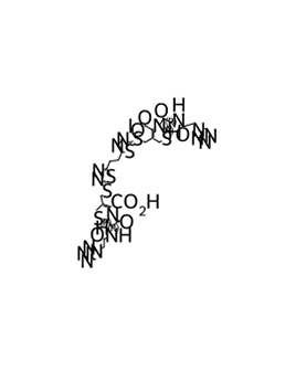 O=C(Cn1cnnn1)N[C@@H]1C(=O)N2C(C(=O)O)=C(CSc3nnc(CCc4nnc(SCC5=C(C(=O)OI)N6C(=O)[C@@H](NC(=O)Cn7cnnn7)[C@H]6SC5)s4)s3)CS[C@H]12